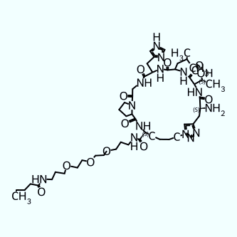 CCCCC(=O)NCCCOCCOCCOCCCNC(=O)[C@@H]1CCCCn2cc(nn2)C[C@H](N)C(=O)NC([C@H](C)O)C(=C=O)NC(CC(C)C)C(=O)NC(Cc2c[nH]cn2)C(=O)NCC(=O)N2CCCC2C(=O)N1